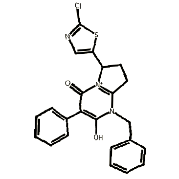 O=c1c(-c2ccccc2)c(O)n(Cc2ccccc2)c2[n+]1C(c1cnc(Cl)s1)CC2